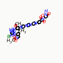 COc1cc(N2CCC(N3CCN(C4CCN(c5ccc6c(c5)C(=O)N(C5CCC(=O)NC5=O)C6=O)CC4)CC3)CC2)c(C)cc1Nc1ncc(Br)c(Nc2cccc3ccn(S(C)(=O)=O)c23)n1